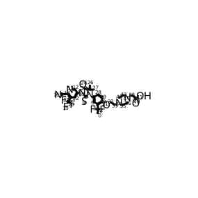 CC(F)(F)c1cc(N2C(=S)N(c3cnc(C#N)c(C(F)(F)F)c3)C(=O)C2(C)C)ccc1OCCN1CCN(CC(=O)O)CC1